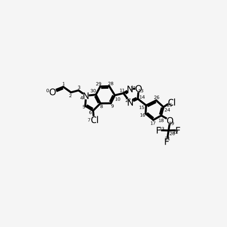 O=CCCn1cc(Cl)c2cc(-c3noc(-c4ccc(OC(F)(F)F)c(Cl)c4)n3)ccc21